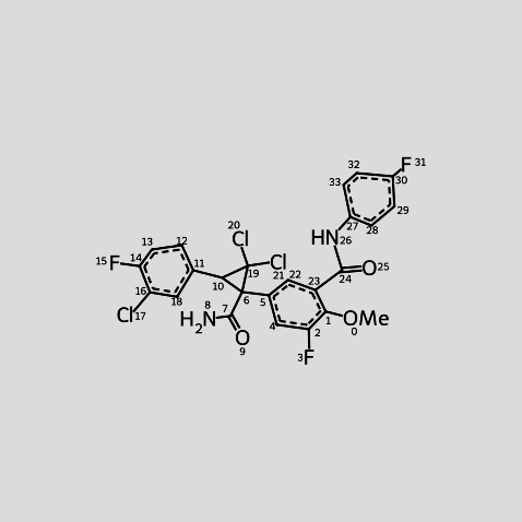 COc1c(F)cc(C2(C(N)=O)C(c3ccc(F)c(Cl)c3)C2(Cl)Cl)cc1C(=O)Nc1ccc(F)cc1